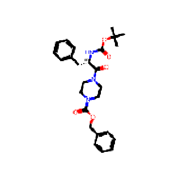 CC(C)(C)OC(=O)N[C@@H](Cc1ccccc1)C(=O)N1CCN(C(=O)OCc2ccccc2)CC1